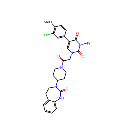 COc1ccc(-c2cn(CC(=O)N3CCC(N4CCc5ccccc5NC4=O)CC3)c(=O)n(C(C)C)c2=O)cc1Cl